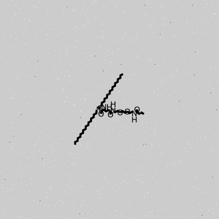 CCCCCCCCCCCCCCCCCCN(CCCCCCCCCCCCCCCCCC)C(=O)[C@H](N)CCC(=O)NCCOCCOCCNC(=O)CCC